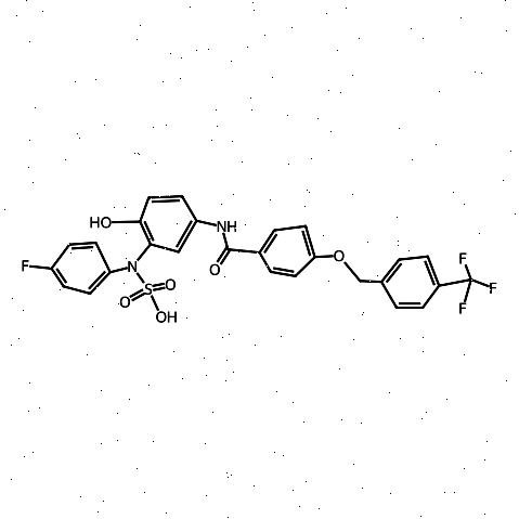 O=C(Nc1ccc(O)c(N(c2ccc(F)cc2)S(=O)(=O)O)c1)c1ccc(OCc2ccc(C(F)(F)F)cc2)cc1